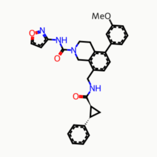 COc1cccc(-c2ccc(CNC(=O)[C@H]3C[C@@H]3c3ccccc3)c3c2CCN(C(=O)Nc2ccon2)C3)c1